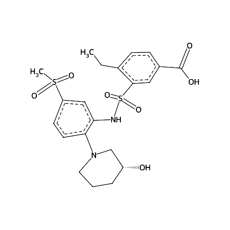 CCc1ccc(C(=O)O)cc1S(=O)(=O)Nc1cc(S(C)(=O)=O)ccc1N1CCC[C@@H](O)C1